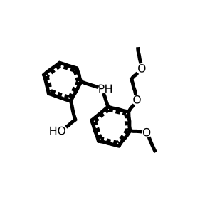 COCOc1c(OC)cccc1Pc1ccccc1CO